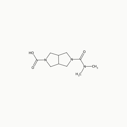 CN(C)C(=O)N1CC2CN(C(=O)O)CC2C1